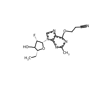 CC[C@H]1O[C@@H](n2cnc3c(OCCC#N)nc(C)nc32)[C@@H](F)C1O